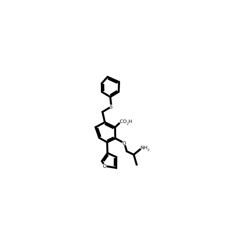 CC(N)COc1c(-c2ccoc2)ccc(CSc2ccccc2)c1C(=O)O